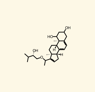 CC(OC[C@@H](O)C(C)C)C1=CC[C@H]2C3=CC=C4CC(O)CC(O)[C@]4(C)[C@H]3CC[C@]12C